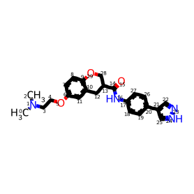 CN(C)CCOc1ccc2c(c1)CC(C(=O)Nc1ccc(-c3cn[nH]c3)cc1)CO2